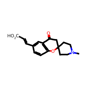 CN1CCC2(CC1)CC(=O)c1cc(C=CC(=O)O)ccc1O2